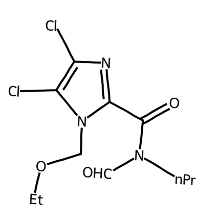 CCCN(C=O)C(=O)c1nc(Cl)c(Cl)n1COCC